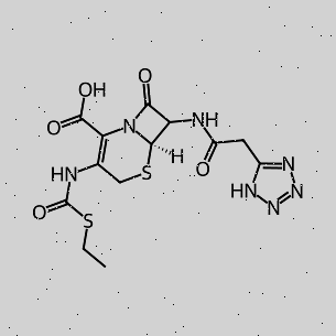 CCSC(=O)NC1=C(C(=O)O)N2C(=O)C(NC(=O)Cc3nnn[nH]3)[C@H]2SC1